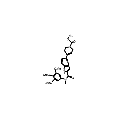 COc1cc(N(C)C(=O)c2cc3nc(C4=CCN(C(=O)OC(C)(C)C)CC4)ccc3[nH]2)cc(OC)c1OC